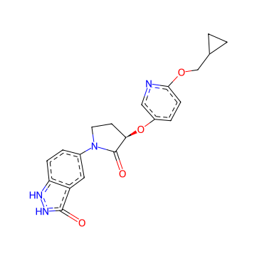 O=C1[C@H](Oc2ccc(OCC3CC3)nc2)CCN1c1ccc2[nH][nH]c(=O)c2c1